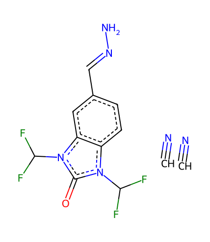 C#N.C#N.NN=Cc1ccc2c(c1)n(C(F)F)c(=O)n2C(F)F